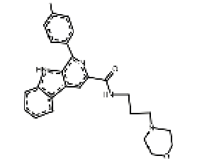 Cc1ccc(-c2nc(C(=O)NCCCN3CCOCC3)cc3c2[nH]c2ccccc23)cc1